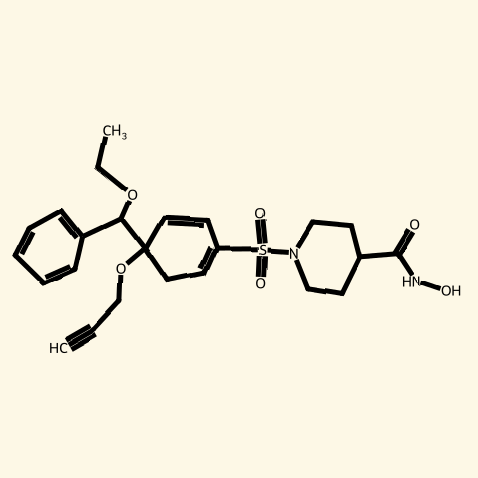 C#CCOC1(C(OCC)c2ccccc2)C=CC(S(=O)(=O)N2CCC(C(=O)NO)CC2)=CC1